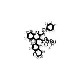 CC(C)(C)O[C@H](C(=O)O)c1c(COc2ccccc2)nc2ccccc2c1-c1ccc2c(c1)CCCO2